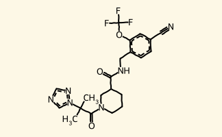 CC(C)(C(=O)N1CCCC(C(=O)NCc2ccc(C#N)cc2OC(F)(F)F)C1)n1cncn1